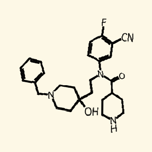 N#Cc1cc(N(CCC2(O)CCN(Cc3ccccc3)CC2)C(=O)C2CCNCC2)ccc1F